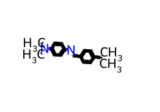 CC(C)c1ccc(/C=N/c2ccc(N(C)C)cc2)cc1